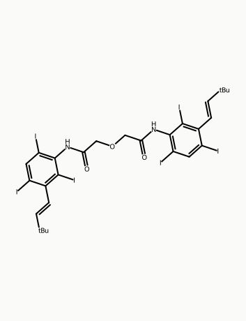 CC(C)(C)C=Cc1c(I)cc(I)c(NC(=O)COCC(=O)Nc2c(I)cc(I)c(C=CC(C)(C)C)c2I)c1I